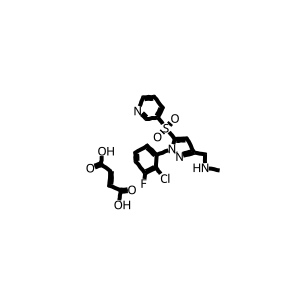 CNCc1cc(S(=O)(=O)c2cccnc2)n(-c2cccc(F)c2Cl)n1.O=C(O)/C=C/C(=O)O